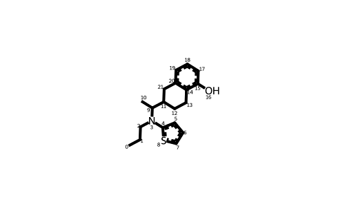 CCCN(c1cccs1)C(C)C1CCc2c(O)cccc2C1